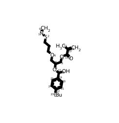 C=NSCCCOCC(COC(=O)C(=C)C)OC(O)c1ccc(C(C)(C)C)cc1